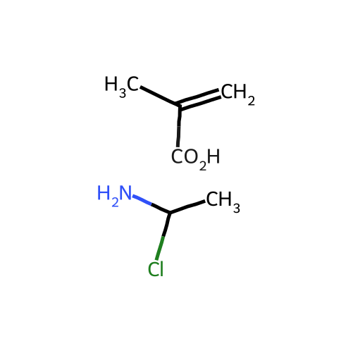 C=C(C)C(=O)O.CC(N)Cl